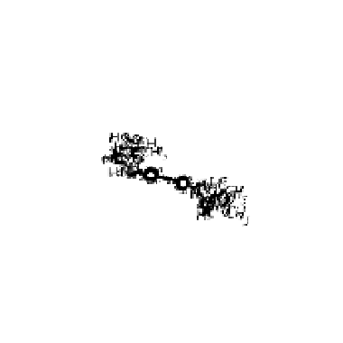 COC(=O)N[C@H](C(=O)N1[C@@H]2C[C@@H]2C[C@H]1c1nc(-c2ccc(C#Cc3ccc(-c4c[nH]c([C@@H]5C[C@H]6C[C@H]6N5C(=O)[C@@H](NC(=O)O)C(C)C)n4)cc3)cc2)c[nH]1)C(C)C